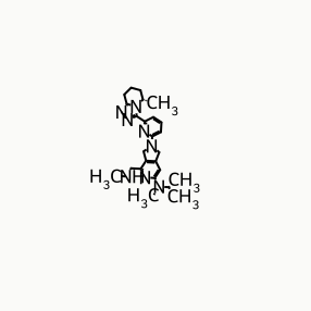 CNCc1nc(N(C)C(C)C)cc2c1CN(c1cccc(-c3nnc4n3[C@@H](C)CCC4)n1)C2